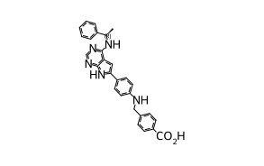 C[C@@H](Nc1ncnc2[nH]c(-c3ccc(NCc4ccc(C(=O)O)cc4)cc3)cc12)c1ccccc1